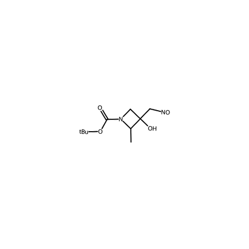 CC1N(C(=O)OC(C)(C)C)CC1(O)CN=O